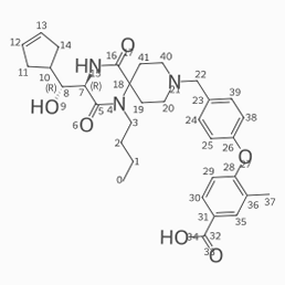 CCCCN1C(=O)[C@@H]([C@H](O)C2CC=CC2)NC(=O)C12CCN(Cc1ccc(Oc3ccc(C(=O)O)cc3C)cc1)CC2